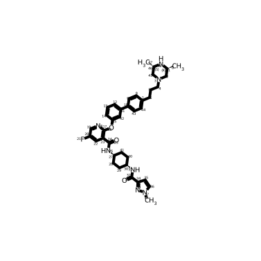 C[C@@H]1CN(CCCc2ccc(-c3cccc(Oc4ncc(F)cc4C(=O)N[C@H]4CC[C@@H](NC(=O)c5ccn(C)n5)CC4)c3)cc2)C[C@H](C)N1